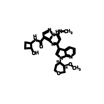 CNc1cc(-c2cn([C@H]3CCOC[C@@H]3OC)c3ncccc23)nc2c(C(=O)NC3CCC3O)cnn12